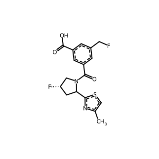 Cc1csc(C2C[C@H](F)CN2C(=O)c2cc(CF)cc(C(=O)O)c2)n1